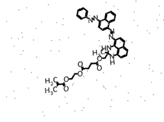 C=C(C)C(=O)OCCOC(=O)CCC(=O)OCC1(C)Nc2cccc3ccc(/N=N/c4ccc(/N=N/c5ccccc5)c5ccccc45)c(c23)N1